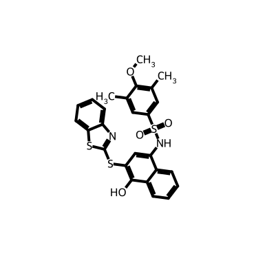 COc1c(C)cc(S(=O)(=O)Nc2cc(Sc3nc4ccccc4s3)c(O)c3ccccc23)cc1C